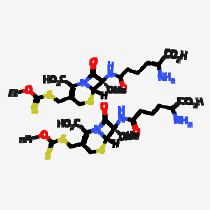 CCCOC(=S)SCC1=C(C(=O)O)N2C(=O)[C@](NC(=O)CCCC(N)C(=O)O)(OC)[C@@H]2SC1.CCOC(=S)SCC1=C(C(=O)O)N2C(=O)[C@](NC(=O)CCCC(N)C(=O)O)(OC)[C@@H]2SC1